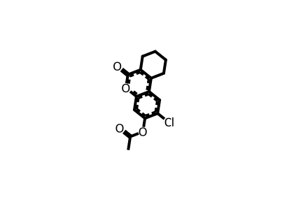 CC(=O)Oc1cc2oc(=O)c3c(c2cc1Cl)CCCC3